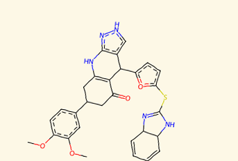 COc1ccc(C2CC(=O)C3=C(C2)Nc2n[nH]cc2C3c2ccc(SC3=NC4C=CC=CC4N3)o2)cc1OC